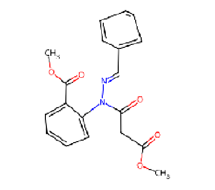 COC(=O)CC(=O)N(N=Cc1ccccc1)c1ccccc1C(=O)OC